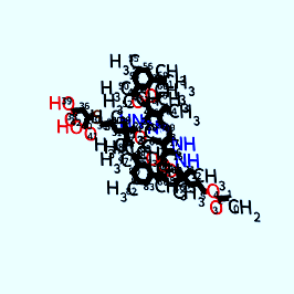 C=CC(=O)OCCCC(CC)(CC)C(=O)Nc1[nH]c(/C=C2\N=C(NC(=O)C(CC)(CC)CCCSC(CC(=O)O)C(=O)O)C(C(=O)OC3C(C(C)(C)C)CC(C)CC3C(C)(C)C)=C2C(C)C)c(C(C)C)c1C(=O)OC1C(C(C)(C)C)CC(C)CC1C(C)(C)C